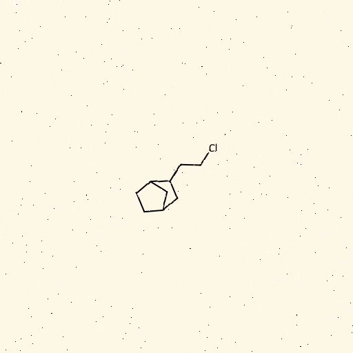 ClCCC1CC2CCC1C2